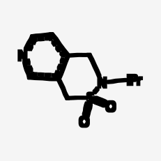 CC(C)N1Cc2ccncc2CS1(=O)=O